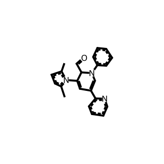 Cc1ccc(C)n1C1=CC(c2ccccn2)=CN(c2ccccc2)C1C=O